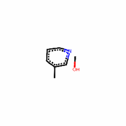 CO.Cc1cccnc1